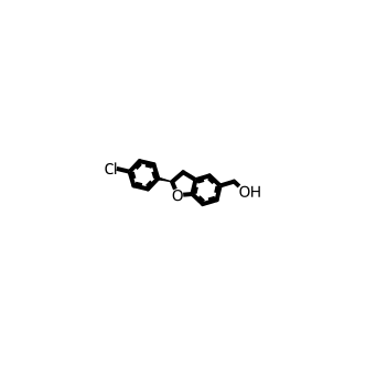 OCc1ccc2c(c1)C[C@H](c1ccc(Cl)cc1)O2